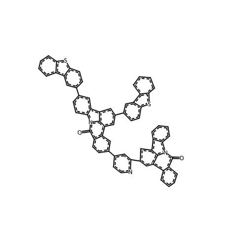 O=c1c2ccc(-c3ccnc(-c4cc5c6ccccc6c(=O)n6c7ccccc7c(c4)c56)c3)cc2c2cc(-c3ccc4sc5ccccc5c4c3)cc3c4cc(-c5ccc6sc7ccccc7c6c5)ccc4n1c23